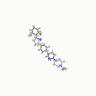 CC(C)N1CCN(c2ccc(-c3ccc(C4CCC(c5c(F)cccc5F)=N4)cc3)cn2)CC1